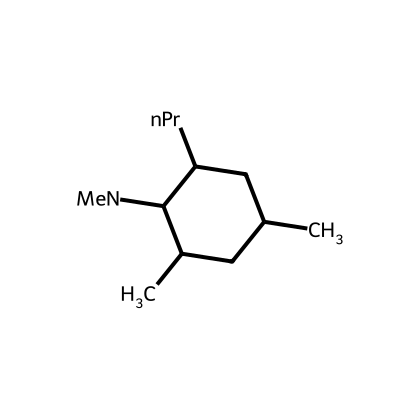 CCCC1CC(C)CC(C)C1NC